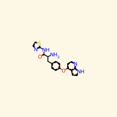 NC(Cc1ccc(Oc2ccnc3[nH]ccc23)cc1)C(=O)Nc1nccs1